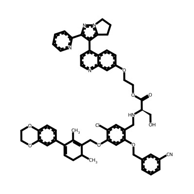 CC1=C(COc2cc(OCc3cccc(C#N)c3)c(CN[C@H](CO)C(=O)OCCOc3ccc4c(-c5c(-c6ccccn6)nn6c5CCC6)ccnc4c3)cc2Cl)C(C)CC=C1c1ccc2c(c1)OCCO2